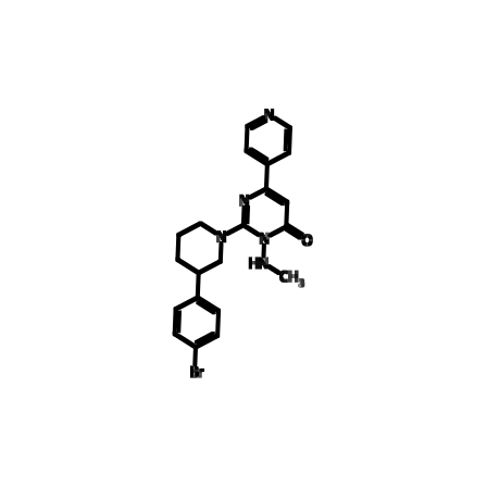 CNn1c(N2CCCC(c3ccc(Br)cc3)C2)nc(-c2ccncc2)cc1=O